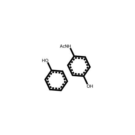 CC(=O)Nc1ccc(O)cc1.Oc1ccccc1